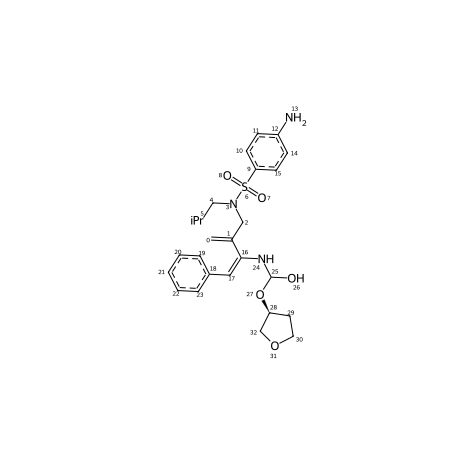 C=C(CN(CC(C)C)S(=O)(=O)c1ccc(N)cc1)/C(=C\c1ccccc1)NC(O)O[C@H]1CCOC1